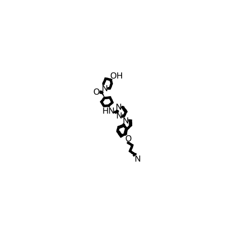 N#CCCCOc1cccc2c1ccn2-c1ccnc(N[C@H]2CC[C@H](C(=O)N3CCC(O)CC3)CC2)n1